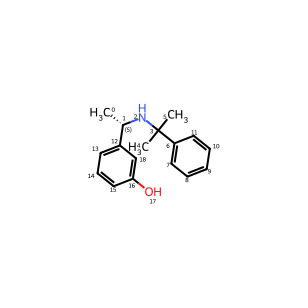 C[C@H](NC(C)(C)c1ccccc1)c1cccc(O)c1